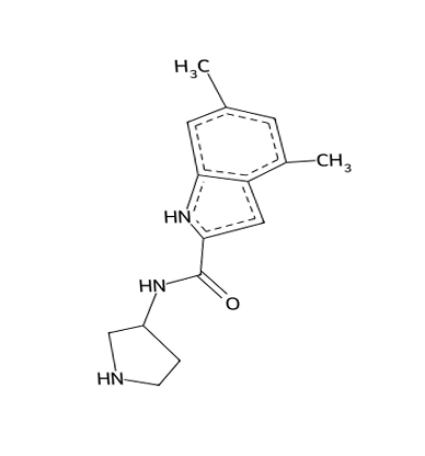 Cc1cc(C)c2cc(C(=O)NC3CCNC3)[nH]c2c1